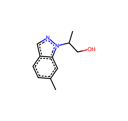 Cc1ccc2cnn(C(C)CO)c2c1